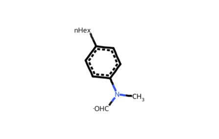 CCCCCCc1ccc(N(C)[C]=O)cc1